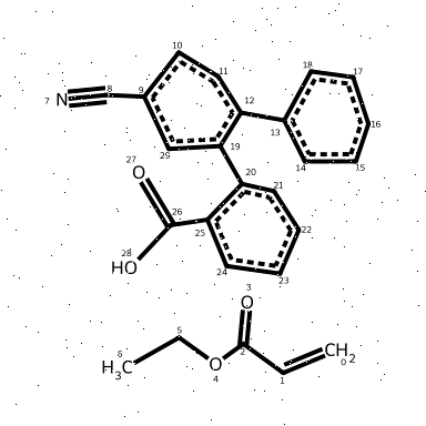 C=CC(=O)OCC.N#Cc1ccc(-c2ccccc2)c(-c2ccccc2C(=O)O)c1